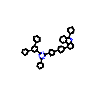 c1ccc(-c2cc(-c3ccccc3)cc(-c3nc(-c4ccccc4)nc(-c4ccc(-c5ccc(-c6cccc7nc(-c8ccccc8)c8ccccc8c67)cc5)cc4)n3)c2)cc1